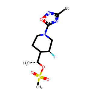 CCc1noc(N2CCC([C@@H](C)OS(C)(=O)=O)[C@H](F)C2)n1